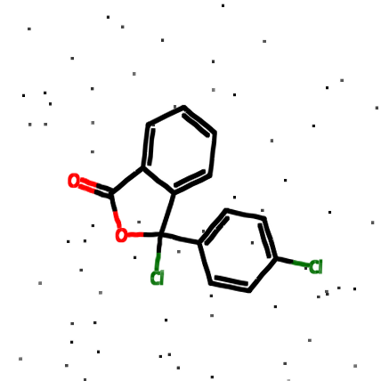 O=C1OC(Cl)(c2ccc(Cl)cc2)c2ccccc21